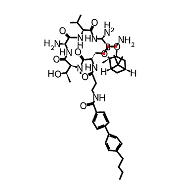 CCCCc1ccc(-c2ccc(C(=O)NCCC(=O)N[C@@H](CCCCN)C(=O)N(C)[C@H](C(=O)N[C@@H](N)C(=O)N[C@H](C(=O)N[C@@H](N)B3OC4C[C@@H]5C[C@@H](C5(C)C)[C@]4(C)O3)C(C)C)[C@@H](C)O)cc2)cc1